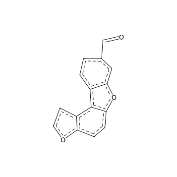 O=Cc1ccc2c(c1)oc1ccc3occc3c12